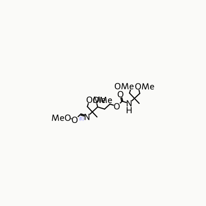 COCC(C)(COC)NC(=O)OCCC(OC)C(C)(COC)/N=C/OOC